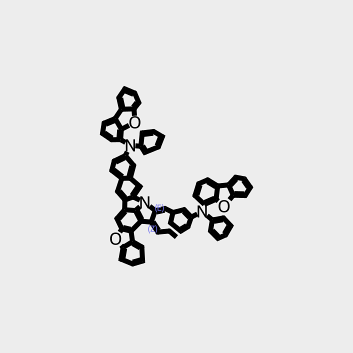 CC/C=c1\c(=C/C2C=C(N(c3ccccc3)c3cccc4c3oc3ccccc34)C=CC2)n2c3cc4cc(N(c5ccccc5)c5cccc6c5oc5ccccc56)ccc4cc3c3cc4oc5ccccc5c4c1c32